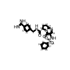 N=C(N)c1ccc(CNC(=O)[C@@H]2CCc3ncc(NS(=O)(=O)c4ccccc4)c(=O)n32)cc1